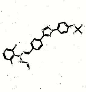 Fc1cccc(F)c1N(/N=C/c1ccc(-c2ncn(-c3ccc(OC(F)(F)F)cc3)n2)cc1)NC=S